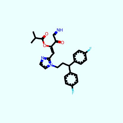 CC(C)C(=O)O/C(=C\c1nccn1CCC(c1ccc(F)cc1)c1ccc(F)cc1)C(=O)C=N